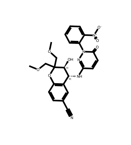 COCC1(COC)Oc2ccc(C#N)cc2[C@@H](Nc2ccc(=O)n(-c3ccccc3[N+](=O)[O-])n2)[C@@H]1O